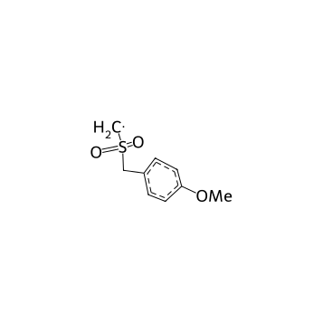 [CH2]S(=O)(=O)Cc1ccc(OC)cc1